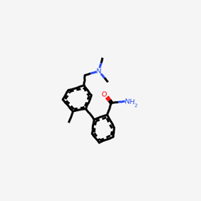 Cc1ccc(CN(C)C)cc1-c1ccccc1C(N)=O